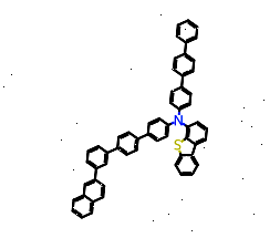 c1ccc(-c2ccc(-c3ccc(N(c4ccc(-c5ccc(-c6cccc(-c7ccc8ccccc8c7)c6)cc5)cc4)c4cccc5c4sc4ccccc45)cc3)cc2)cc1